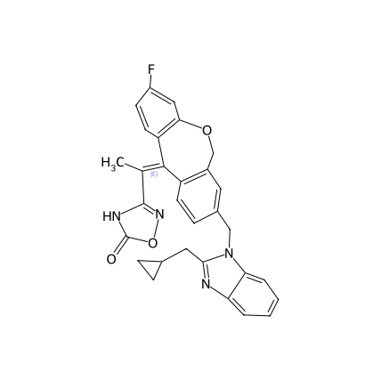 C/C(=C1/c2ccc(Cn3c(CC4CC4)nc4ccccc43)cc2COc2cc(F)ccc21)c1noc(=O)[nH]1